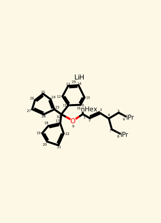 CCCCCCC(/C=C/C(CC(C)C)CC(C)C)OC(c1ccccc1)(c1ccccc1)c1ccccc1.[LiH]